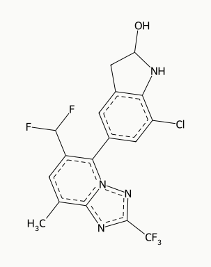 Cc1cc(C(F)F)c(-c2cc(Cl)c3c(c2)CC(O)N3)n2nc(C(F)(F)F)nc12